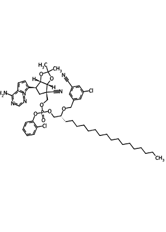 CCCCCCCCCCCCCCCCC[C@H](COP(=O)(OC[C@@]1(C#N)C[C@@H](c2ccc3c(N)ncnn23)[C@@H]2OC(C)(C)O[C@@H]21)Oc1ccccc1Cl)OCc1cc(Cl)cc(C#N)c1